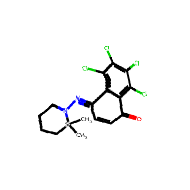 C[Si]1(C)CCCCN1N=C1C=CC(=O)c2c(Cl)c(Cl)c(Cl)c(Cl)c21